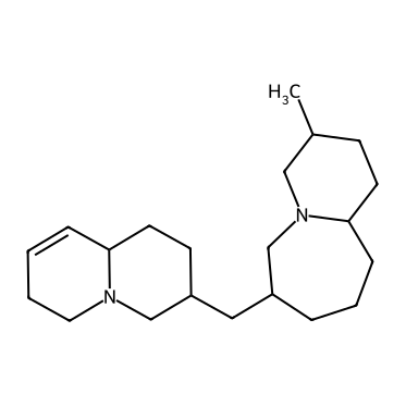 CC1CCC2CCCC(CC3CCC4C=CCCN4C3)CN2C1